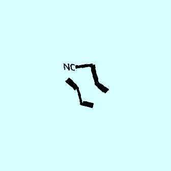 C=C=CC#N.C=CC=C